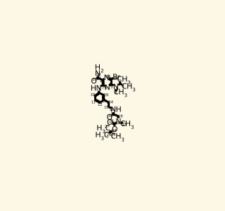 CC(C)N(C)c1nc(Nc2cccc(CCNC(=O)CN(C)C(=O)OC(C)(C)C)c2)c(C(N)=O)nc1Br